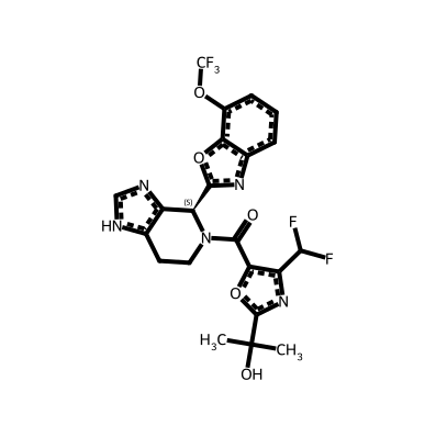 CC(C)(O)c1nc(C(F)F)c(C(=O)N2CCc3[nH]cnc3[C@H]2c2nc3cccc(OC(F)(F)F)c3o2)o1